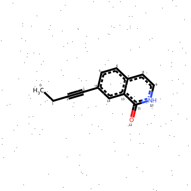 CCC#Cc1ccc2cc[nH]c(=O)c2c1